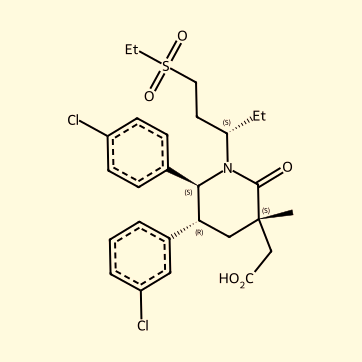 CC[C@@H](CCS(=O)(=O)CC)N1C(=O)[C@](C)(CC(=O)O)C[C@H](c2cccc(Cl)c2)[C@H]1c1ccc(Cl)cc1